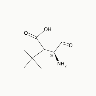 CC(C)(C)C(C(=O)O)[C@H](N)[C]=O